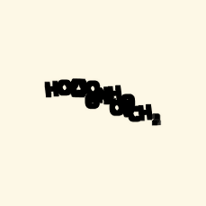 C=CC(=O)OCCNC(=O)Oc1ccc(O)cc1